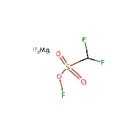 O=S(=O)(OF)C(F)F.[MgH2]